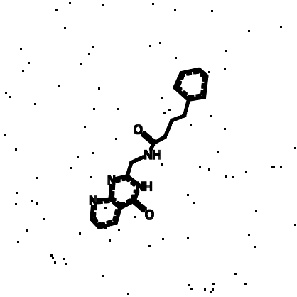 O=C(CCCc1ccccc1)NCc1nc2ncccc2c(=O)[nH]1